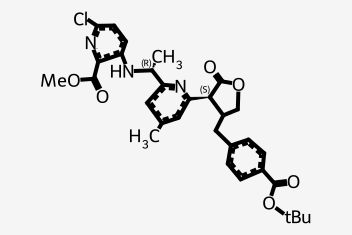 COC(=O)c1nc(Cl)ccc1N[C@H](C)c1cc(C)cc([C@H]2C(=O)OCC2Cc2ccc(C(=O)OC(C)(C)C)cc2)n1